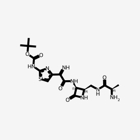 C[C@@H](N)C(=O)NC[C@H]1NC(=O)[C@H]1NC(=O)C(=N)c1csc(NC(=O)OC(C)(C)C)n1